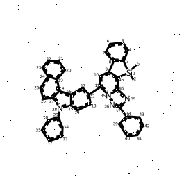 C[Si]1(C)c2ccccc2-c2cc(-c3ccc4c(c3)c3c5ccccc5ccc3n4-c3ccccc3)n3nc(-c4ccccc4)nc3c21